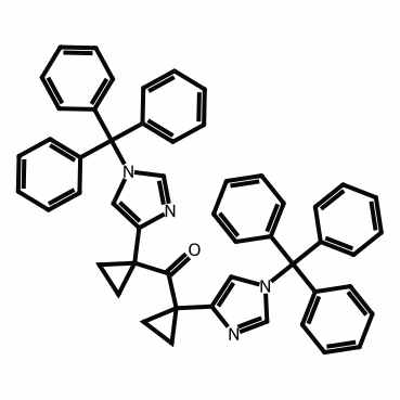 O=C(C1(c2cn(C(c3ccccc3)(c3ccccc3)c3ccccc3)cn2)CC1)C1(c2cn(C(c3ccccc3)(c3ccccc3)c3ccccc3)cn2)CC1